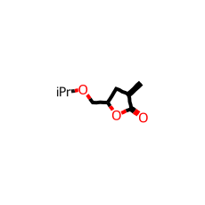 C=C1CC(COC(C)C)OC1=O